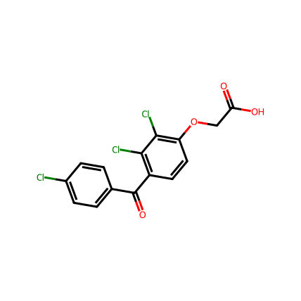 O=C(O)COc1ccc(C(=O)c2ccc(Cl)cc2)c(Cl)c1Cl